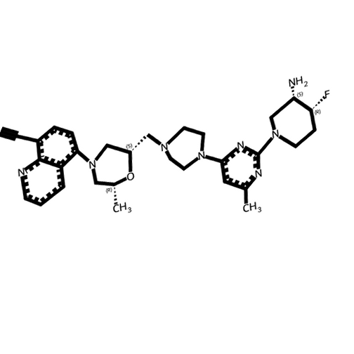 Cc1cc(N2CCN(C[C@H]3CN(c4ccc(C#N)c5ncccc45)C[C@@H](C)O3)CC2)nc(N2CC[C@@H](F)[C@@H](N)C2)n1